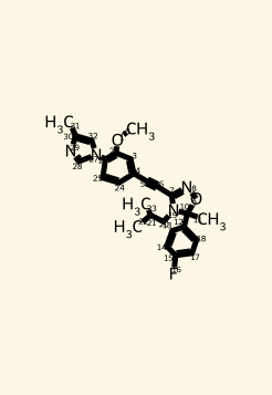 COc1cc(C#CC2=NOC(C)(c3ccc(F)cc3)N2CC(C)C)ccc1-n1cnc(C)c1